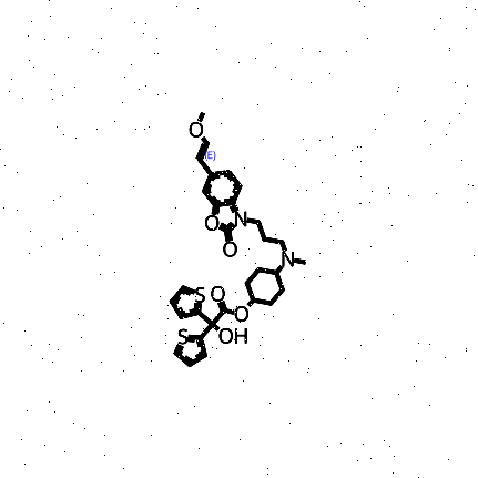 CO/C=C/c1ccc2c(c1)oc(=O)n2CCCN(C)C1CCC(OC(=O)C(O)(c2cccs2)c2cccs2)CC1